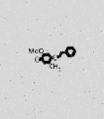 COC1=CC(=C=CCc2ccccc2)C(C)=CC1=O